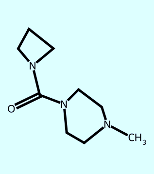 CN1CCN(C(=O)N2CCC2)CC1